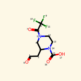 O=CCC1CN(C(=O)C(F)(F)F)CCN1C(=O)O